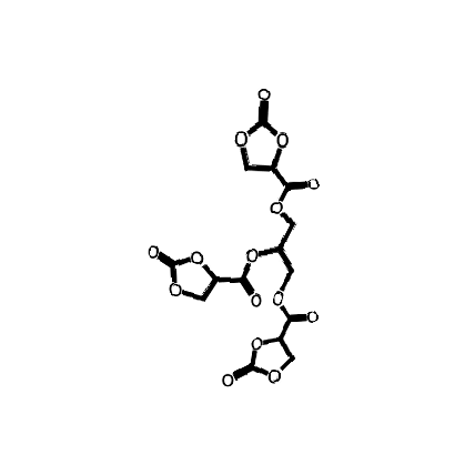 O=C1OCC(C(=O)OCC(COC(=O)C2COC(=O)O2)OC(=O)C2COC(=O)O2)O1